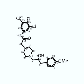 COc1ccc(CC(O)CN2CCN(CC(=O)Nc3cc(Cl)c(Cl)c(Cl)c3)CC2)cc1